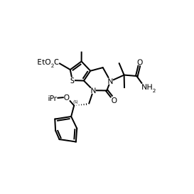 CCOC(=O)c1sc2c(c1C)CN(C(C)(C)C(N)=O)C(=O)N2C[C@@H](OC(C)C)c1ccccc1